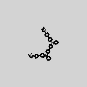 Cc1ccc(-c2ccc(-c3ccc(N(c4ccccc4)c4ccc(-c5ccc(N(c6ccccc6)c6ccc(-c7ccc(-c8ccc(C)s8)cc7)cc6)cc5)cc4)cc3)cc2)s1